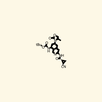 Cc1coc(=O)n1-c1cc(NC(=O)OC(C)(C)C)c2cnc(NC(=O)[C@@H]3C[C@H]3C#N)cc2c1